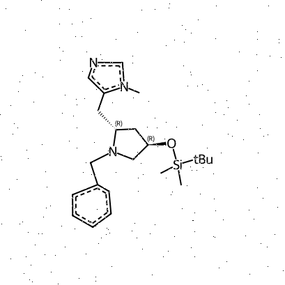 Cn1cncc1C[C@@H]1C[C@@H](O[Si](C)(C)C(C)(C)C)CN1Cc1ccccc1